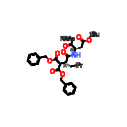 CNC(=O)[C@H](CC(=O)OC(C)(C)C)NC(=O)[C@H](CC(C)C)C(C(=O)OCc1ccccc1)C(=O)OCc1ccccc1